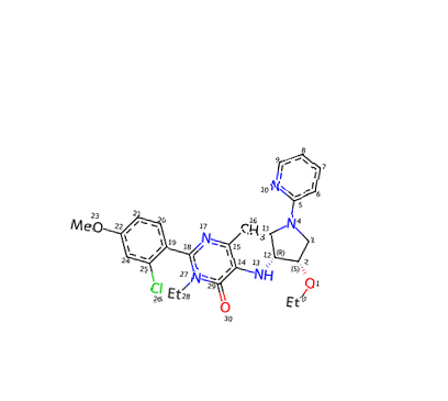 CCO[C@H]1CN(c2ccccn2)C[C@H]1Nc1c(C)nc(-c2ccc(OC)cc2Cl)n(CC)c1=O